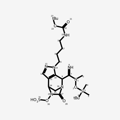 CN(O[Si](C)(C)C(C)(C)C)C(=N)C1c2c(cnn2CCCCNC(=O)OC(C)(C)C)C2CN1C(=O)N2OS(=O)(=O)O